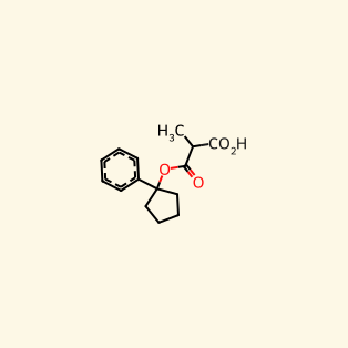 CC(C(=O)O)C(=O)OC1(c2ccccc2)CCCC1